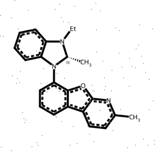 CCN1c2ccccc2N(c2cccc3c2oc2nc(C)ccc23)[C@H]1C